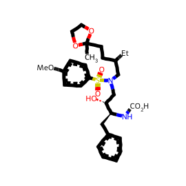 CCC(CCC1(C)OCCO1)CN(C[C@@H](O)[C@H](Cc1ccccc1)NC(=O)O)S(=O)(=O)c1ccc(OC)cc1